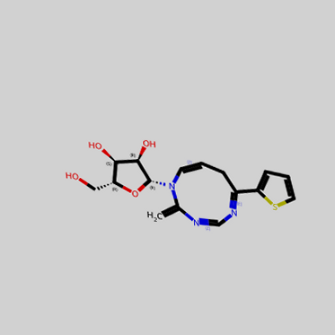 C=C1/N=C\N=C(\c2cccs2)C/C=C\N1[C@@H]1O[C@H](CO)[C@@H](O)[C@H]1O